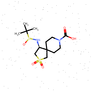 CC(C)(C)[S+]([O-])N[C@@H]1CS(=O)(=O)CC12CCN(C(=O)O)CC2